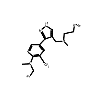 CNCCN(C)Cc1c[nH]nc1-c1cnc(N(C)CC(C)C)c(C(F)(F)F)c1